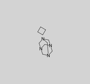 C1CCC1.C1N2CN3CN1CN(C2)C3